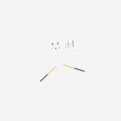 CSC.[MgH2]